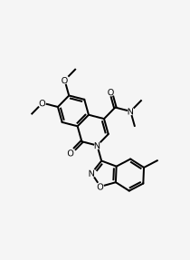 COc1cc2c(C(=O)N(C)C)cn(-c3noc4ccc(C)cc34)c(=O)c2cc1OC